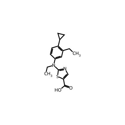 CCc1cc(N(CC)c2ncc(C(=O)O)s2)ccc1C1CC1